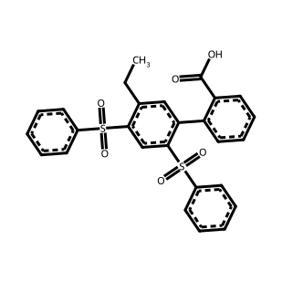 CCc1cc(-c2ccccc2C(=O)O)c(S(=O)(=O)c2ccccc2)cc1S(=O)(=O)c1ccccc1